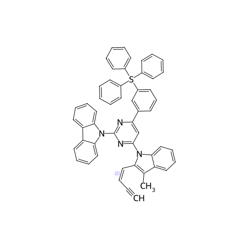 C#C/C=C\c1c(C)c2ccccc2n1-c1cc(-c2cccc(S(c3ccccc3)(c3ccccc3)c3ccccc3)c2)nc(-n2c3ccccc3c3ccccc32)n1